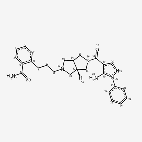 NC(=O)c1ccccc1[CH]CCN1CC2CN(C(=O)c3cnn(-c4ccccc4)c3N)C[C@@H]2C1